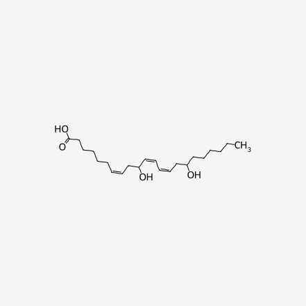 CCCCCCC(O)C/C=C\C=C/C(O)C/C=C\CCCCCC(=O)O